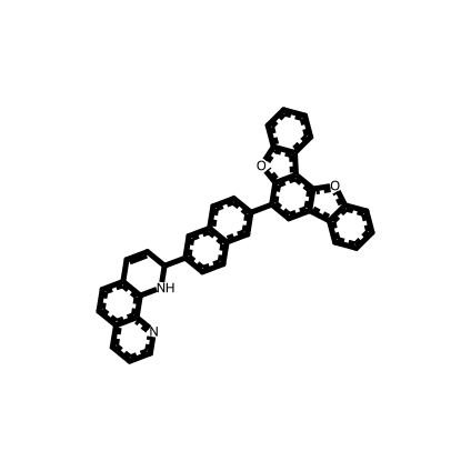 C1=CC(c2ccc3cc(-c4cc5c6ccccc6oc5c5c4oc4ccccc45)ccc3c2)Nc2c1ccc1cccnc21